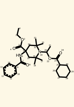 CCOC(=O)C1(NC(=O)c2ccccc2)CC(C)(C)N(C(C)OC(=O)C2CCCCC2)C(C)(C)C1